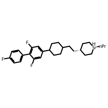 CCC[Si@H]1CC[C@H](CCC2CCC(c3cc(F)c(-c4ccc(F)cc4)c(F)c3)CC2)CC1